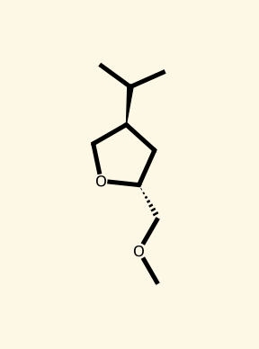 COC[C@H]1C[C@H](C(C)C)CO1